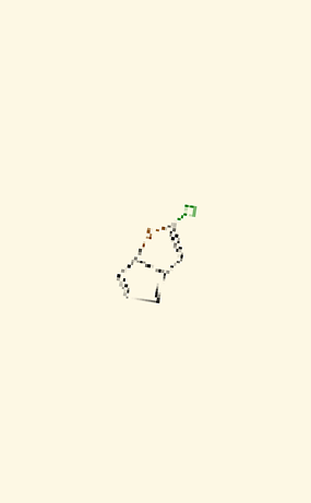 ClC1=[C]C2=CC=CC2S1